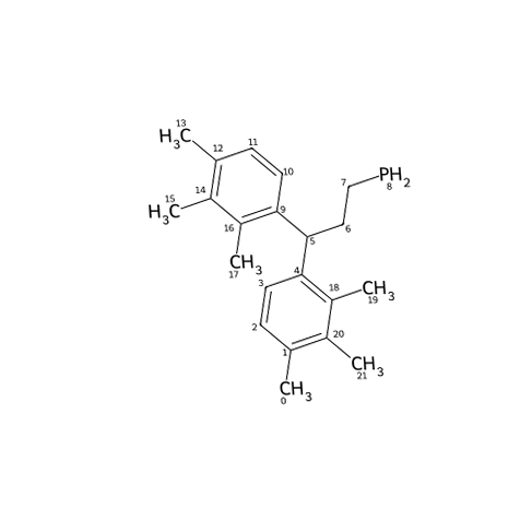 Cc1ccc(C(CCP)c2ccc(C)c(C)c2C)c(C)c1C